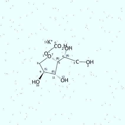 O=C([O-])O.OC[C@@H](O)[C@H]1OC[C@H](O)[C@H]1O.[K+]